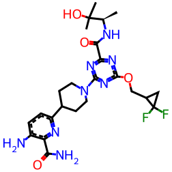 C[C@@H](NC(=O)c1nc(OCC2CC2(F)F)nc(N2CCC(c3ccc(N)c(C(N)=O)n3)CC2)n1)C(C)(C)O